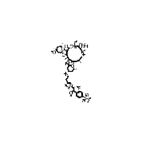 CC[C@H]1OC(=O)[C@H](C)[C@@H](O[C@H]2C[C@@](C)(OC)C[C@H](C)O2)[C@H](C)[C@@H](O[C@H]2C[C@@H](N(C)CCc3cn([C@H](CF)[C@H](OC)c4ccc(S(=O)(=O)N(C)C)cc4)nn3)C[C@@H](C)O2)[C@](C)(O)C[C@@H](C)CN(C)[C@H](C)[C@@H](O)[C@]1(C)O